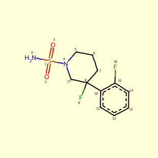 NS(=O)(=O)N1CCCC(F)(c2ccccc2F)C1